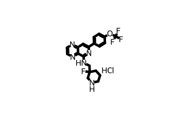 Cl.FC1(CNc2nc(-c3ccc(OC(F)(F)F)cc3)cc3nccnc23)CCCNC1